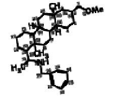 COC[C@H]1CC[C@@H]2C3CC[C@@]4(C)C(CCC[C@@H]4C(C)NCc4ccccc4)[C@@H]3CC[C@]2(C)C1